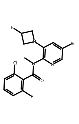 CN(C(=O)c1c(F)cccc1Cl)c1ncc(Br)cc1N1CC(F)C1